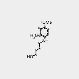 COc1ccc(NCCCCO)c(N)c1